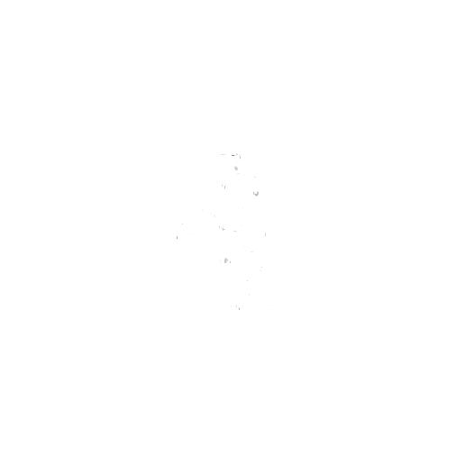 CC(Nc1cc(=O)n(CC2CC2)c2c(Nc3ccnc(Cl)c3Cl)cccc12)c1ncccn1